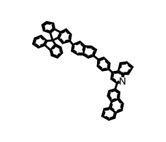 c1ccc2c(c1)-c1ccccc1C21c2ccccc2-c2ccc(-c3ccc4cc(-c5ccc(-c6cc(-c7ccc8c(ccc9ccccc98)c7)nc7ccccc67)cc5)ccc4c3)cc21